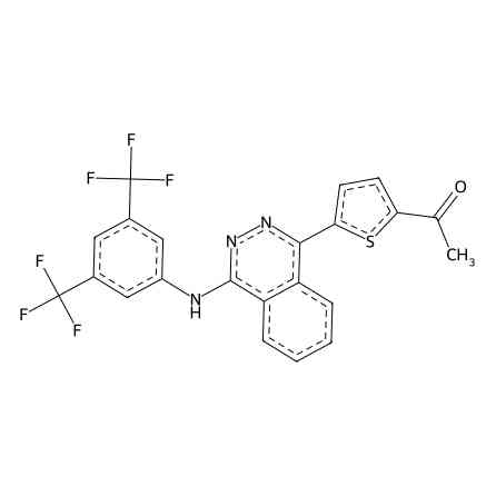 CC(=O)c1ccc(-c2nnc(Nc3cc(C(F)(F)F)cc(C(F)(F)F)c3)c3ccccc23)s1